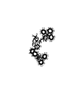 CC(C)(C)OC(=O)N(CCc1cn(C(c2ccccc2)(c2ccccc2)c2ccccc2)cn1)[C@H]1CCN(c2cccc3ccc(O[Si](c4ccccc4)(c4ccccc4)C(C)(C)C)cc23)C1=O